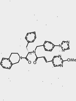 COc1ncc(C=CC(=O)N(Cc2ccc(-n3cncn3)cc2)[C@@H](Cc2ccccc2)C(=O)N2CCc3ccccc3C2)cn1